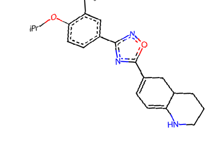 Cc1cc(-c2noc(C3=CC=C4NCCCC4C3)n2)ccc1OC(C)C